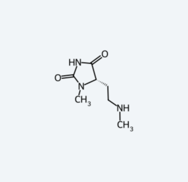 CNCC[C@H]1C(=O)NC(=O)N1C